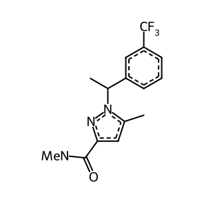 CNC(=O)c1cc(C)n(C(C)c2cccc(C(F)(F)F)c2)n1